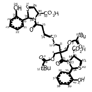 CC(C)(C)C(=O)OCC(COC(=O)C(C)(C)C)(CSSCCC(=O)N1C(c2ccccc2O)SC[C@H]1C(=O)O)C(=O)N1C(c2ccccc2O)SC[C@H]1C(=O)O